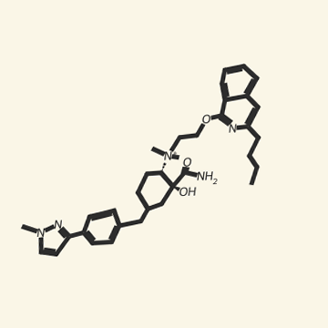 CCCCc1cc2ccccc2c(OCC[N+](C)(C)[C@H]2CCC(Cc3ccc(-c4ccn(C)n4)cc3)C[C@@]2(O)C(N)=O)n1